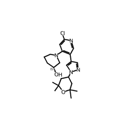 CC1(C)CC(n2cc(-c3cnc(Cl)cc3N3CCC[C@H](O)C3)cn2)CC(C)(C)O1